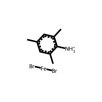 Cc1cc(C)c([NH3+])c(C)c1.[Br][Fe][Br]